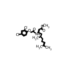 COC(=O)C=C(CC(C)CCC=C(C)C)NC(=O)COc1ccc(Cl)cc1Cl